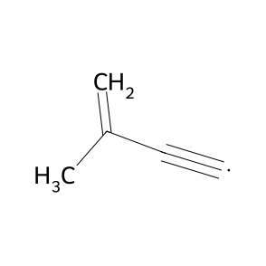 [C]#CC(=C)C